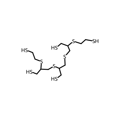 SCCSC(CS)CSCC(CS)SCC(CS)SCCS